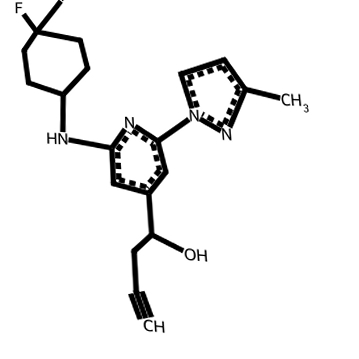 C#CCC(O)c1cc(NC2CCC(F)(F)CC2)nc(-n2ccc(C)n2)c1